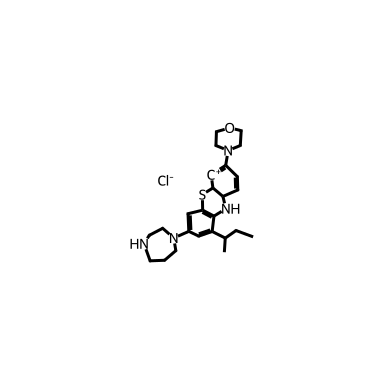 CCC(C)c1cc(N2CCCNCC2)cc2c1NC1C=CC(N3CCOCC3)=[C+]C1S2.[Cl-]